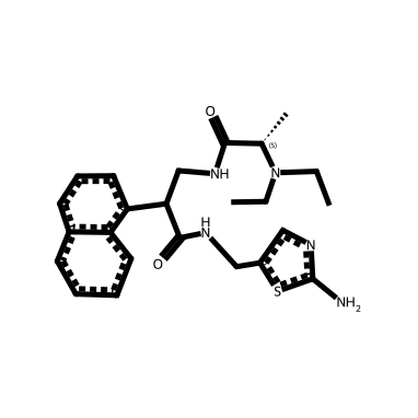 CCN(CC)[C@@H](C)C(=O)NCC(C(=O)NCc1cnc(N)s1)c1cccc2ccccc12